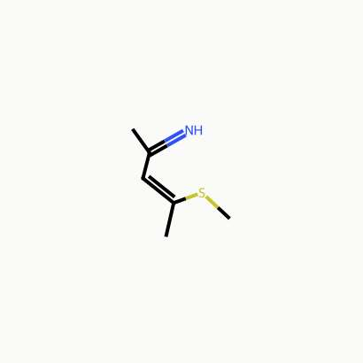 CS/C(C)=C\C(C)=N